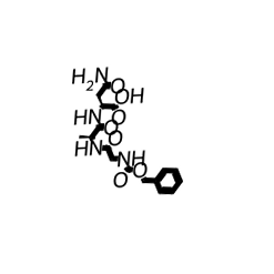 C[C@H](NC(=O)CNC(=O)OCc1ccccc1)C(=O)N[C@@H](CC(N)=O)C(=O)O